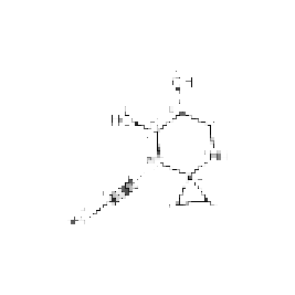 CCCC#C[C@@H]1[C@@H](O)[C@H](O)CNC12CC2